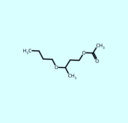 CCCCOC(C)CCOC(C)=O